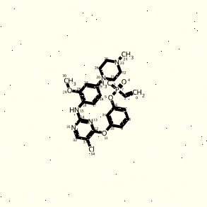 C=CP(C)(=O)Oc1cccc(Oc2nc(Nc3ccc(N4CCN(C)CC4)cc3OC)ncc2Cl)c1